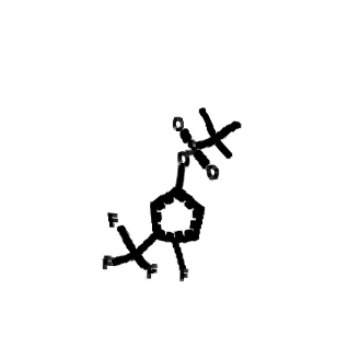 CC(C)(C)S(=O)(=O)Oc1ccc(F)c(C(F)(F)F)c1